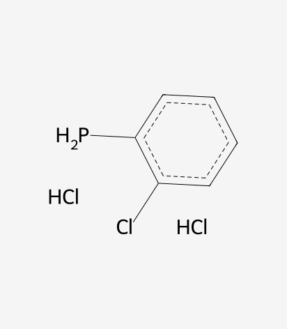 Cl.Cl.Pc1ccccc1Cl